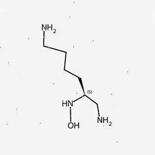 NCCCC[C@@H](CN)NO